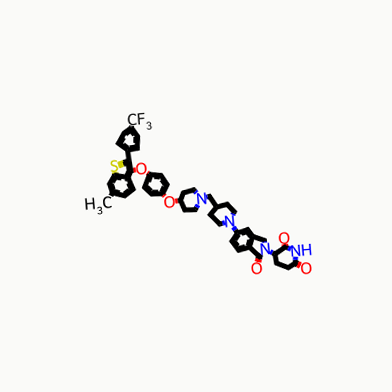 Cc1ccc2c(Oc3ccc(OC4CCN(CC5CCN(c6ccc7c(c6)CN(C6CCC(=O)NC6=O)C7=O)CC5)CC4)cc3)c(-c3ccc(C(F)(F)F)cc3)sc2c1